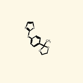 CC1(c2ccc(Sc3nccs3)cc2)OCCO1